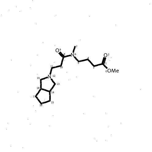 COC(=O)CCCN(C)C(=O)CCN1CC2CCCC2C1